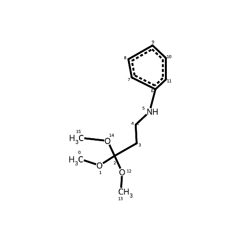 COC(C[CH]Nc1ccccc1)(OC)OC